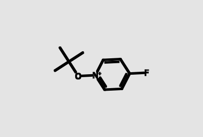 CC(C)(C)O[n+]1ccc(F)cc1